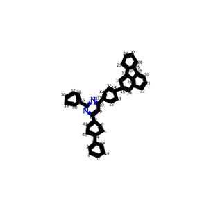 c1ccc(-c2ccc(-c3cc(-c4ccc(-c5cc6c7c(cccc7c5)-c5ccccc5-6)cc4)nc(-c4ccccc4)n3)cc2)cc1